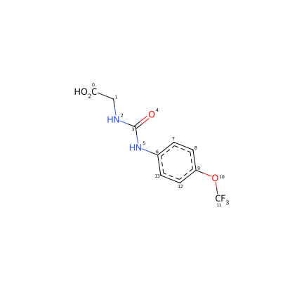 O=C(O)CNC(=O)Nc1ccc(OC(F)(F)F)cc1